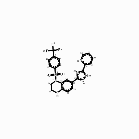 O=S(=O)(c1ccc(C(F)(F)F)cc1)N1CCSc2ccc(-c3nc(-c4ccccn4)no3)cc21